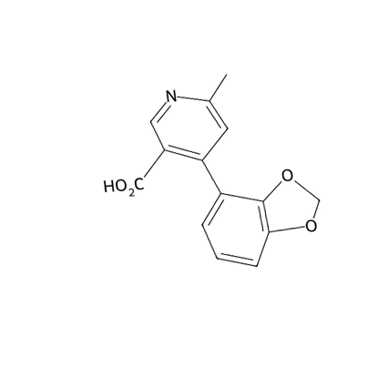 Cc1cc(-c2cccc3c2OCO3)c(C(=O)O)cn1